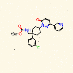 CC(C)(C)OC(=O)NCC1(c2cccc(Cl)c2)CCC(n2nc(-c3cccnc3)ccc2=O)CC1